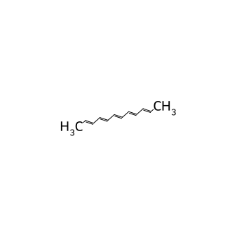 CC=CC=CC=CC=CC=CC